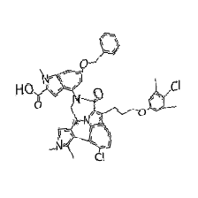 Cc1cc(OCCCc2c3n4c5c(c(Cl)ccc25)-c2c(cn(C)c2C)[C@@]4(C)CN(c2cc(OCc4ccccc4)cc4c2cc(C(=O)O)n4C)C3=O)cc(C)c1Cl